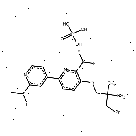 CC(C)CC(C)(N)COc1ccc(-c2ccnc(C(F)F)c2)nc1C(F)F.O=P(O)(O)O